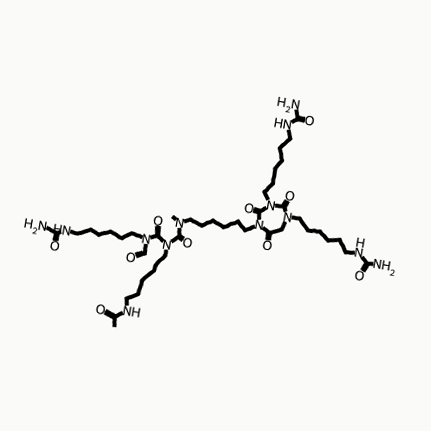 CC(=O)NCCCCCCN(C(=O)N(C)CCCCCCN1C(=O)CN(CCCCCCNC(N)=O)C(=O)N(CCCCCCNC(N)=O)C1=O)C(=O)N(C=O)CCCCCCNC(N)=O